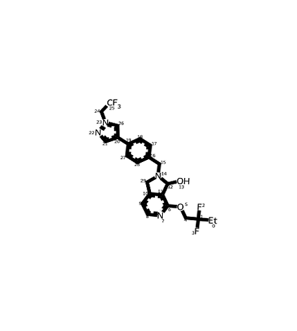 CCC(F)(F)COc1nccc2c1C(O)N(Cc1ccc(-c3cnn(CC(F)(F)F)c3)cc1)C2